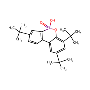 CC(C)(C)c1cc2c(c(C(C)(C)C)c1)OP(=O)(O)c1cc(C(C)(C)C)ccc1-2